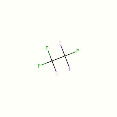 FC(F)(I)C(F)(I)I